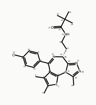 Cc1sc2c(c1C)C(c1ccc(Cl)cc1)=N[C@H](CCNC(=O)C(C)(C)C)c1nnc(C)n1-2